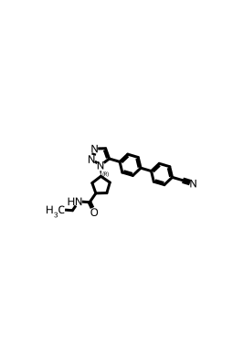 CCNC(=O)C1CC[C@@H](n2nncc2-c2ccc(-c3ccc(C#N)cc3)cc2)C1